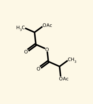 CC(=O)OC(C)C(=O)OC(=O)C(C)OC(C)=O